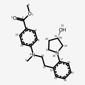 COC(=O)c1ccc(N(C)CCc2ccccc2N2CC[C@H](O)C2)cc1